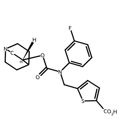 O=C(O)c1ccc(CN(C(=O)O[C@H]2CN3CCC2CC3)c2cccc(F)c2)s1